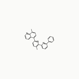 Cc1ccc(-c2ccc(C)c3ncccc23)nc1-c1cccc(-c2ccccc2)n1